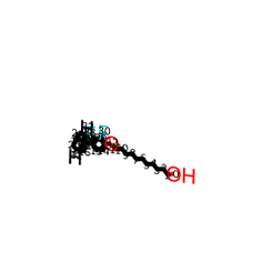 OCCCCCCCCCCCOc1ccc([C@]23CC4C[C@@H](C[C@H](C4)C2)C3)c(F)c1F